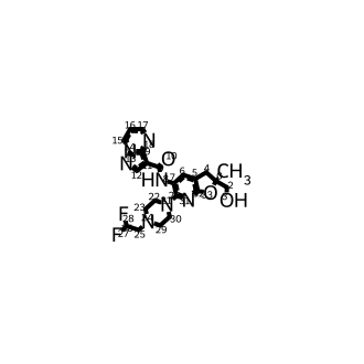 C[C@]1(CO)Cc2cc(NC(=O)c3cnn4cccnc34)c(N3CCN(CC(F)F)CC3)nc2O1